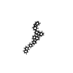 c1ccc2cc(-c3ccc(-c4ccc5c(c4)-c4cccc6c(-n7c8ccccc8c8cc(-c9ccc%10sc%11ccccc%11c%10c9)ccc87)ccc-5c46)cc3)ccc2c1